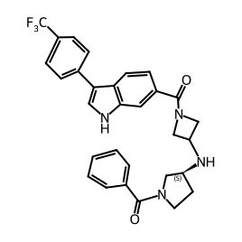 O=C(c1ccc2c(-c3ccc(C(F)(F)F)cc3)c[nH]c2c1)N1CC(N[C@H]2CCN(C(=O)c3ccccc3)C2)C1